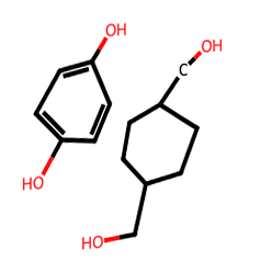 OCC1CCC(CO)CC1.Oc1ccc(O)cc1